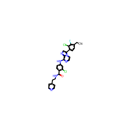 N#CCc1ccc(-c2cnc3c(Nc4ccc(C(=O)NCCc5ccncc5)c(Cl)c4)nccn23)c(Cl)c1F